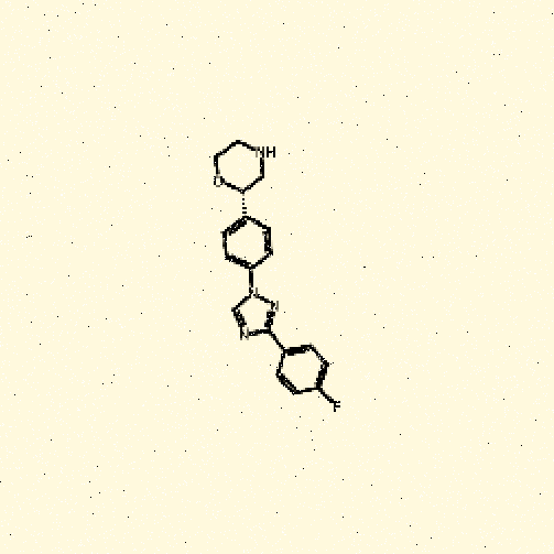 Fc1ccc(-c2ncn(-c3ccc([C@H]4CNCCO4)cc3)n2)cc1